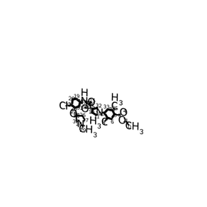 CCOC(=O)c1cc(C)c(-n2ccc(S(=O)(=O)Nc3ccc(Cl)c(O[C@@H]4CCN(C)C4)c3)c2)cc1C